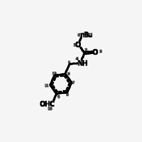 CCCCOC(=O)NCc1ccc(C=O)cc1